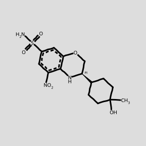 CC1(O)CCC([C@@H]2COc3cc(S(N)(=O)=O)cc([N+](=O)[O-])c3N2)CC1